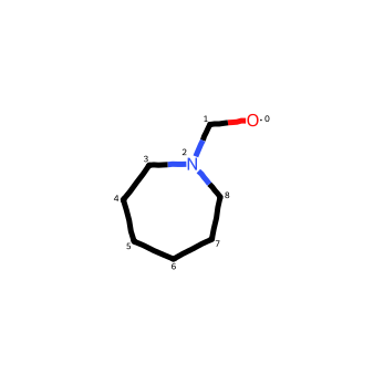 [O]CN1CCCCCC1